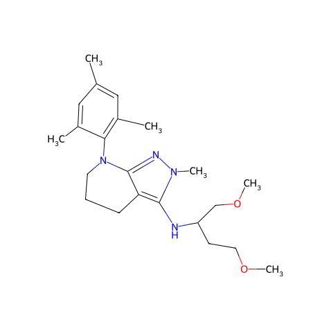 COCCC(COC)Nc1c2c(nn1C)N(c1c(C)cc(C)cc1C)CCC2